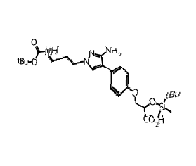 CC(C)(C)OC(=O)NCCCn1cc(-c2ccc(OCC(O[Si](C)(C)C(C)(C)C)C(=O)O)cc2)c(N)n1